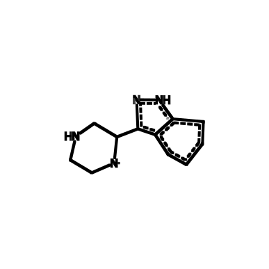 c1ccc2c(C3CNCC[N]3)n[nH]c2c1